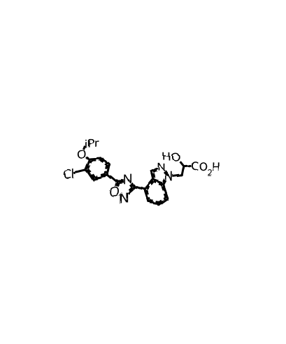 CC(C)Oc1ccc(-c2nc(-c3cccc4c3cnn4CC(O)C(=O)O)no2)cc1Cl